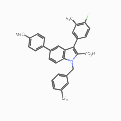 COc1ccc(-c2ccc3c(c2)c(-c2ccc(F)c(C)c2)c(C(=O)O)n3Cc2cccc(C(F)(F)F)c2)cc1